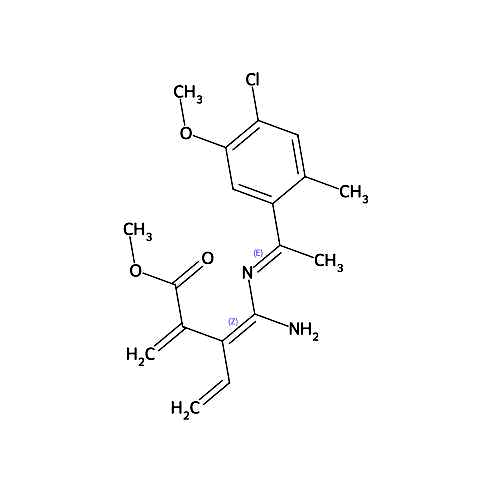 C=C/C(C(=C)C(=O)OC)=C(N)/N=C(\C)c1cc(OC)c(Cl)cc1C